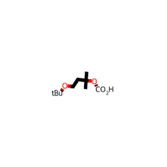 CC(C)(C)OCCC(C)(C)OC(=O)O